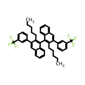 CCCCCc1c(-c2cccc(C(F)(F)F)c2)cc2ccccc2c1-c1c(CCCCC)c(-c2cccc(C(F)(F)F)c2)cc2ccccc12